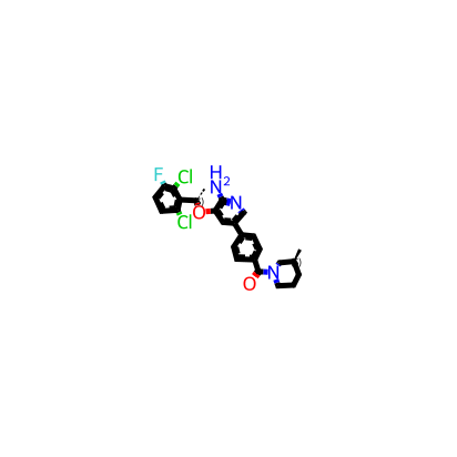 C[C@H]1CCCN(C(=O)c2ccc(-c3cnc(N)c(O[C@@H](C)c4c(Cl)ccc(F)c4Cl)c3)cc2)C1